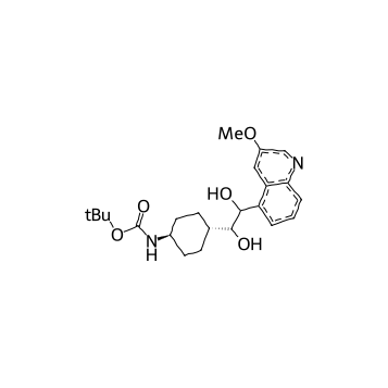 COc1cnc2cccc(C(O)C(O)[C@H]3CC[C@H](NC(=O)OC(C)(C)C)CC3)c2c1